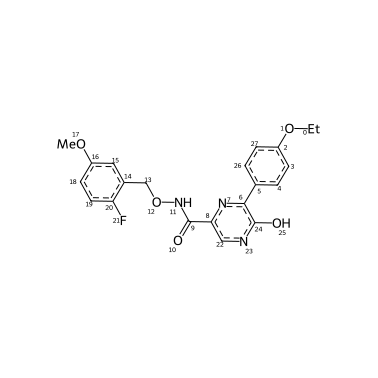 CCOc1ccc(-c2nc(C(=O)NOCc3cc(OC)ccc3F)cnc2O)cc1